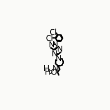 CC(O)CC1(N)CCCN(c2cnc3c(cnn3-c3cccc(Cl)c3Cl)n2)CC1